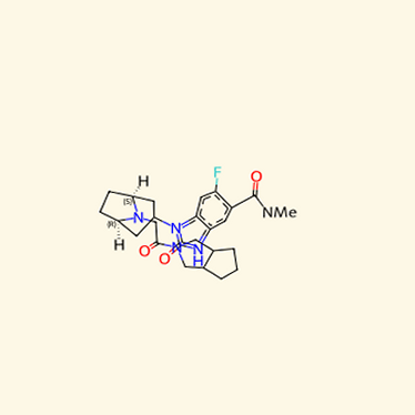 CNC(=O)c1cc2[nH]c(=O)n(C3C[C@H]4CC[C@@H](C3)N4CC(=O)N3CC4CCCC4C3)c2cc1F